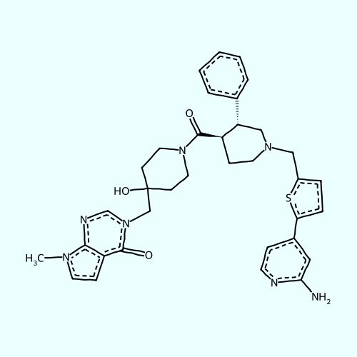 Cn1ccc2c(=O)n(CC3(O)CCN(C(=O)[C@@H]4CCN(Cc5ccc(-c6ccnc(N)c6)s5)C[C@H]4c4ccccc4)CC3)cnc21